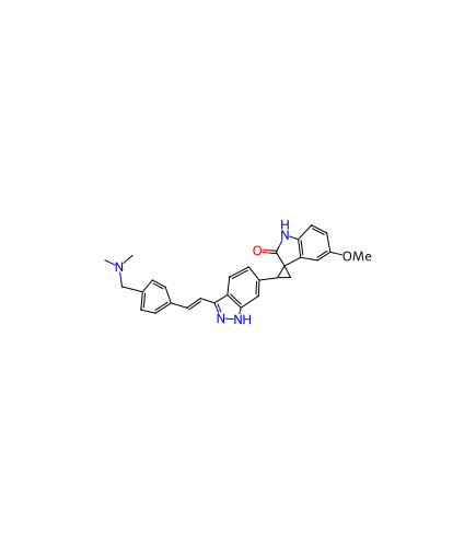 COc1ccc2c(c1)C1(CC1c1ccc3c(/C=C/c4ccc(CN(C)C)cc4)n[nH]c3c1)C(=O)N2